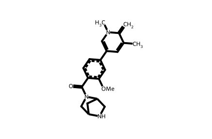 C=C1C(C)=CC(c2ccc(C(=O)N3CC4CC3CN4)c(OC)c2)=CN1C